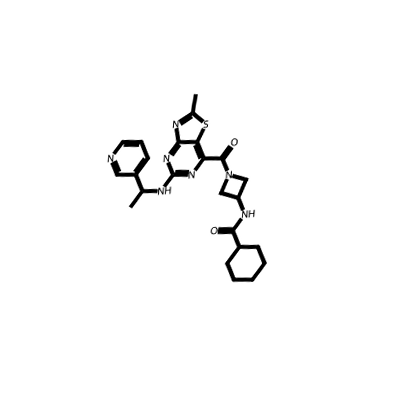 Cc1nc2nc(NC(C)c3cccnc3)nc(C(=O)N3CC(NC(=O)C4CCCCC4)C3)c2s1